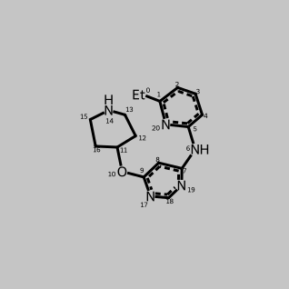 CCc1cccc(Nc2cc(OC3CCNCC3)ncn2)n1